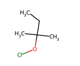 CCC(C)(C)OCl